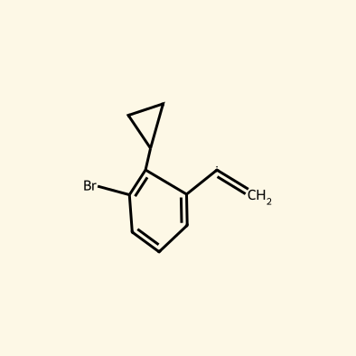 C=[C]c1cccc(Br)c1C1CC1